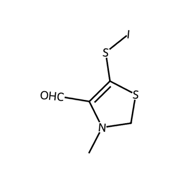 CN1CSC(SI)=C1C=O